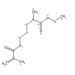 C=C(C)C(=O)OCCCC(C)C(=O)OCC